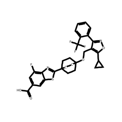 O=C(O)c1cc(F)c2nc(C34CCC(OCc5c(-c6ccccc6C(F)(F)F)noc5C5CC5)(CC3)CC4)sc2c1